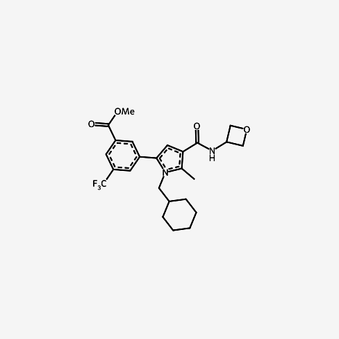 COC(=O)c1cc(-c2cc(C(=O)NC3COC3)c(C)n2CC2CCCCC2)cc(C(F)(F)F)c1